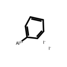 [Al+2][c]1ccccc1.[I-].[I-]